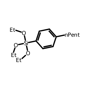 CCCCCc1ccc([Si](OCC)(OCC)OCC)cc1